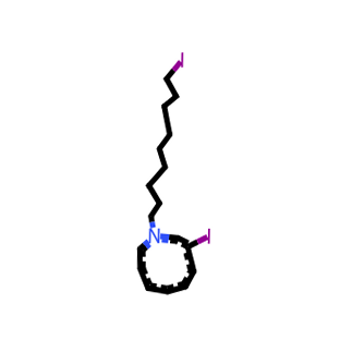 ICCCCCCCCCn1ccccccc(I)c1